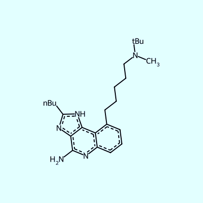 CCCCc1nc2c(N)nc3cccc(CCCCCN(C)C(C)(C)C)c3c2[nH]1